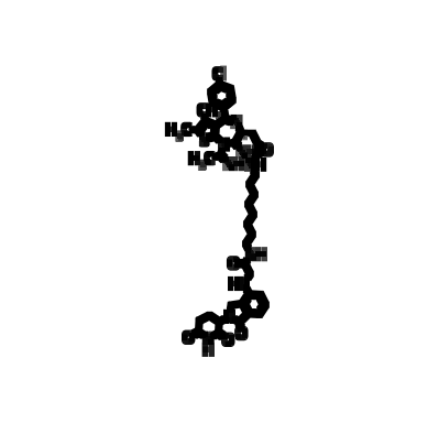 CC(=N)N1C(=N)[C@H](CC2OC2NCCCCCCCCNC(=O)CNc2cccc3c2CN(C2CCC(=O)NC2=O)C3=O)N=C(c2ccc(Cl)cc2)c2c1sc(C)c2C